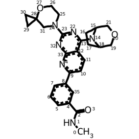 CNC(=O)c1cccc(-c2ccc3c(N4C5CCC4COC5)nc(N4CCOC5(CC5)C4)nc3n2)c1